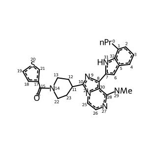 CCCc1cccc2cc(-c3nc(C4CCN(C(=O)c5ccsc5)CC4)n4ccnc(NC)c34)[nH]c12